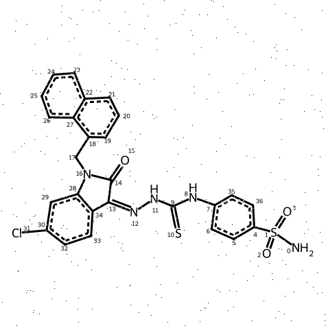 NS(=O)(=O)c1ccc(NC(=S)NN=C2C(=O)N(Cc3cccc4ccccc34)c3cc(Cl)ccc32)cc1